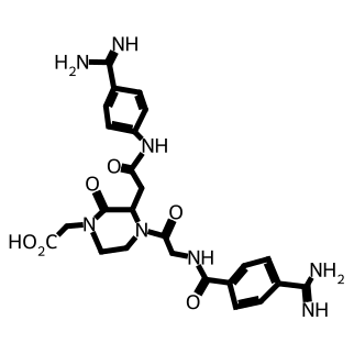 N=C(N)c1ccc(NC(=O)CC2C(=O)N(CC(=O)O)CCN2C(=O)CNC(=O)c2ccc(C(=N)N)cc2)cc1